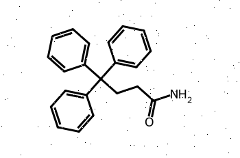 NC(=O)CCC(c1ccccc1)(c1ccccc1)c1ccccc1